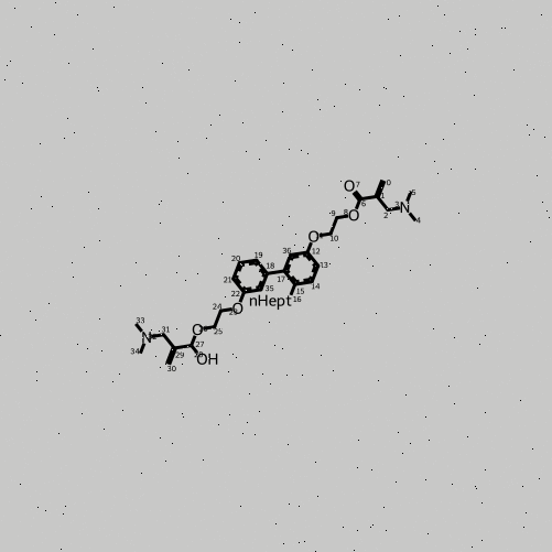 C=C(CN(C)C)C(=O)OCCOc1ccc(CCCCCCC)c(-c2cccc(OCCOC(O)C(=C)CN(C)C)c2)c1